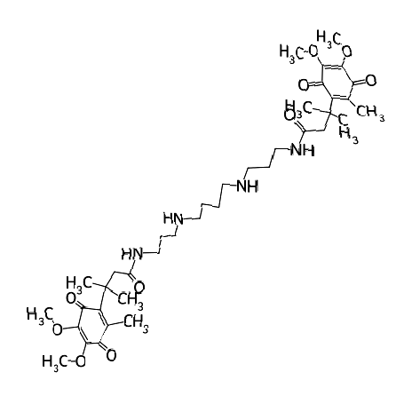 COC1=C(OC)C(=O)C(C(C)(C)CC(=O)NCCCNCCCCNCCCNC(=O)CC(C)(C)C2=C(C)C(=O)C(OC)=C(OC)C2=O)=C(C)C1=O